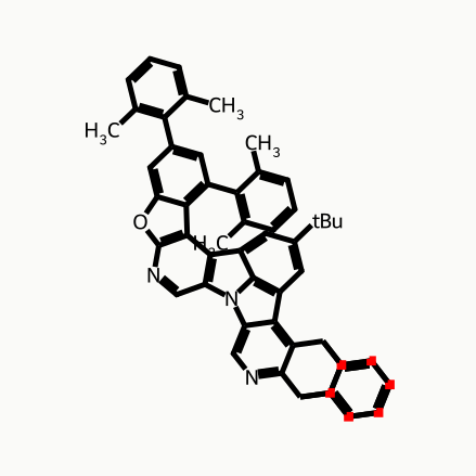 Cc1cccc(C)c1-c1cc(-c2c(C)cccc2C)c2c(c1)oc1ncc3c(c4cc(C(C)(C)C)cc5c6c7c(ncc6n3c54)C3c4ccccc4C7c4ccccc43)c12